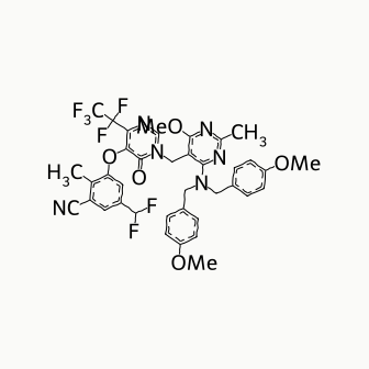 COc1ccc(CN(Cc2ccc(OC)cc2)c2nc(C)nc(OC)c2Cn2cnc(C(F)(F)C(F)(F)F)c(Oc3cc(C(F)F)cc(C#N)c3C)c2=O)cc1